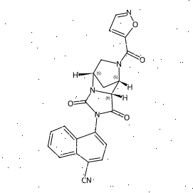 N#Cc1ccc(N2C(=O)[C@H]3[C@@H]4C[C@@H](CN4C(=O)c4ccno4)N3C2=O)c2ccccc12